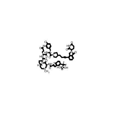 CN1CC[C@H]2CC[C@@H](C(=O)N[C@@H](CCC(N)=O)C(=O)N[C@@H](Cc3ccc(Cl)cc3)C(=O)N3CCC(CCC#Cc4cccc5c4CN(C4CCC(=O)NC4=O)C5=O)CC3)N2C(=O)[C@@H](NC(=O)c2cc3cc(C(F)(F)P(=O)(O)O)ccc3s2)C1